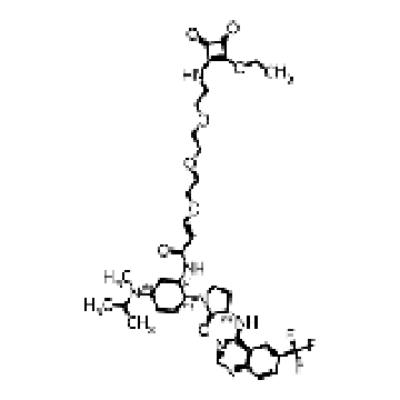 CCOc1c(NCCOCCOCCOC=CC(=O)N[C@@H]2C[C@H](N(C)C(C)C)CC[C@@H]2N2CC[C@H](Nc3ncnc4ccc(C(F)(F)F)cc34)C2=O)c(=O)c1=O